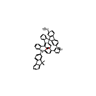 CC(C)(C)c1ccc2c(c1)C1(c3cc(C(C)(C)C)ccc3-2)c2ccccc2-c2c(-c3ccccc3N(c3ccc(-c4ccccc4)cc3)c3ccc4c(c3)C(C)(C)c3ccccc3-4)cccc21